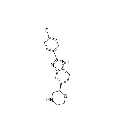 Fc1ccc(-c2nc3cc([C@@H]4CNCCO4)ccc3[nH]2)cc1